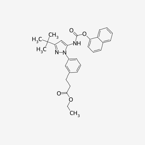 CCOC(=O)CCc1cccc(-n2nc(C(C)(C)C)cc2NC(=O)Oc2cccc3ccccc23)c1